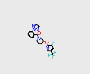 O=C(c1ccccc1-n1nccn1)N1CCC[C@@H](Oc2ncc(C(F)(F)F)cc2F)C1